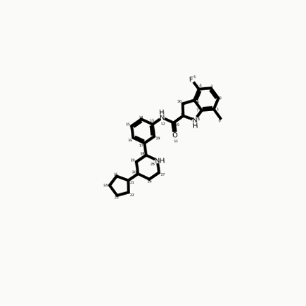 Cc1ccc(F)c2c1NC(C(=O)Nc1cccc(C3CC(C4CCCC4)CCN3)c1)C2